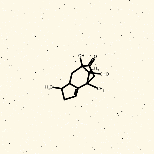 CC1CC=C2C1CC1(O)C(=O)CC2(C)C1(C)C=O